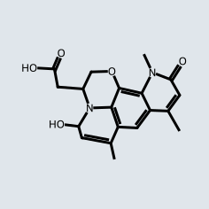 CC1=CC(O)N2c3c1cc1c(C)cc(=O)n(C)c1c3OCC2CC(=O)O